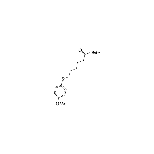 COC(=O)CCCCCSc1ccc(OC)cc1